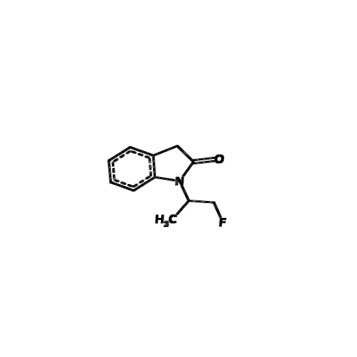 CC(CF)N1C(=O)Cc2ccccc21